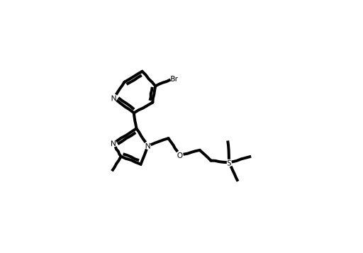 Cc1cn(COCCS(C)(C)C)c(-c2cc(Br)ccn2)n1